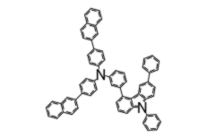 c1ccc(-c2ccc3c(c2)c2c(-c4cccc(N(c5ccc(-c6ccc7ccccc7c6)cc5)c5ccc(-c6ccc7ccccc7c6)cc5)c4)cccc2n3-c2ccccc2)cc1